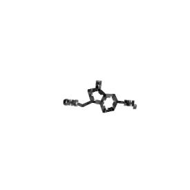 Nc1ccc2c(CC=O)c[nH]c2c1